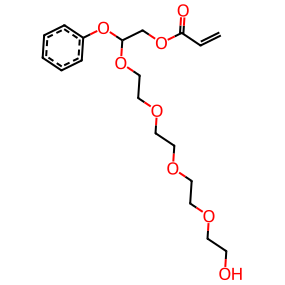 C=CC(=O)OCC(OCCOCCOCCOCCO)Oc1ccccc1